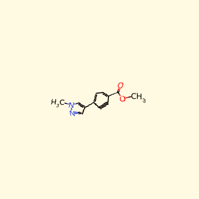 COC(=O)c1c#cc(-c2cnn(C)c2)cc1